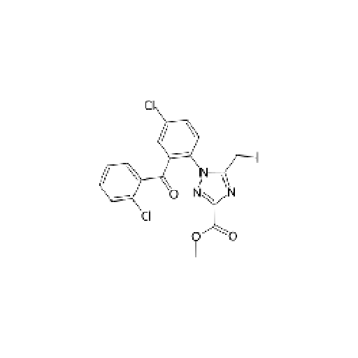 COC(=O)c1nc(CI)n(-c2ccc(Cl)cc2C(=O)c2ccccc2Cl)n1